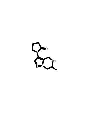 CC1Cn2ncc(N3CCCC3=O)c2CN1